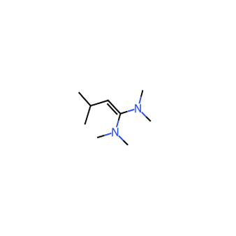 CC(C)C=C(N(C)C)N(C)C